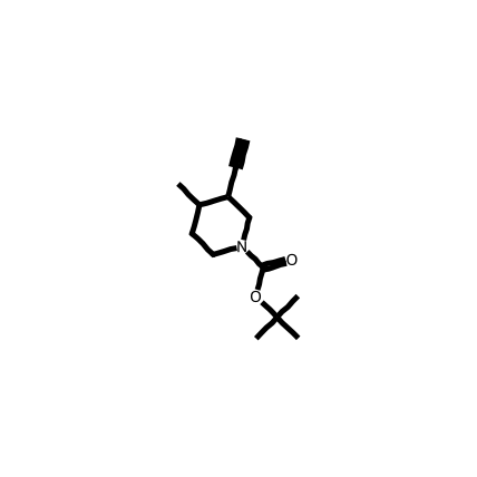 C#CC1CN(C(=O)OC(C)(C)C)CCC1C